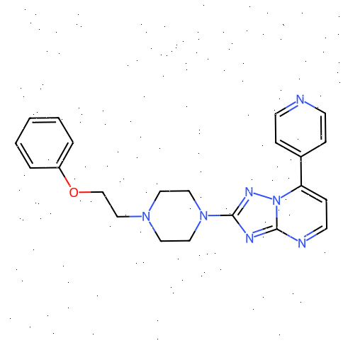 c1ccc(OCCN2CCN(c3nc4nccc(-c5ccncc5)n4n3)CC2)cc1